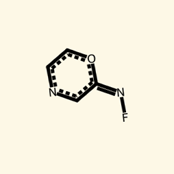 FN=c1cncco1